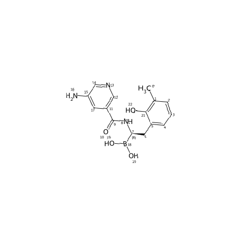 Cc1cccc(C[C@H](NC(=O)c2cncc(N)c2)B(O)O)c1O